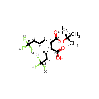 CC(C)(C)OC(=O)[C@@H](CCCC(F)(F)F)[C@@H](CCC(F)(F)F)C(=O)O